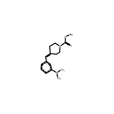 CN(C)c1cccc(C=C2CCN(C(=O)OC(C)(C)C)CC2)c1